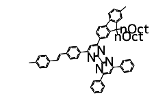 CCCCCCCCC1(CCCCCCCC)c2cc(C)ccc2-c2ccc(-c3cc(-c4ccc(/C=C/c5ccc(C)cc5)cc4)nc(-c4nc(-c5ccccc5)cc(-c5ccccc5)n4)n3)cc21